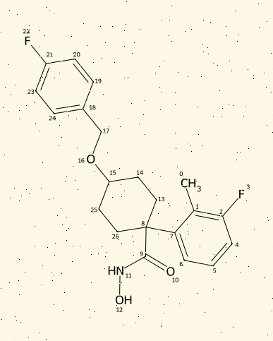 Cc1c(F)cccc1C1(C(=O)NO)CCC(OCc2ccc(F)cc2)CC1